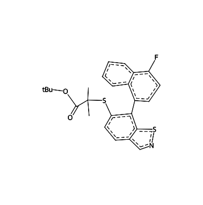 CC(C)(C)OC(=O)C(C)(C)Sc1ccc2cnsc2c1-c1ccc(F)c2ccccc12